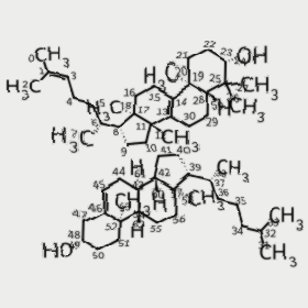 CC(C)=CCC[C@@H](C)[C@H]1CC[C@@]2(C)C3=C(CC[C@]12C)[C@@]1(C)CC[C@H](O)C(C)(C)[C@@H]1CC3.CC(C)CCC[C@@H](C)[C@H]1CC[C@H]2[C@@H]3CC=C4C[C@@H](O)CC[C@]4(C)[C@H]3CC[C@]12C